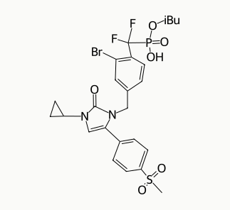 CCC(C)OP(=O)(O)C(F)(F)c1ccc(Cn2c(-c3ccc(S(C)(=O)=O)cc3)cn(C3CC3)c2=O)cc1Br